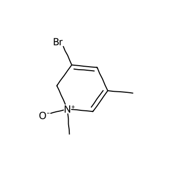 CC1=C[N+](C)([O-])CC(Br)=C1